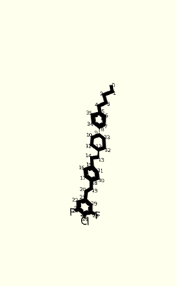 CCCCCc1ccc([C@H]2CC[C@H](CCc3ccc(CCc4cc(F)c(Cl)c(F)c4)cc3)CC2)cc1